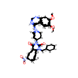 COc1cc2ncnc(N3CCC(n4c(=O)c5cc([N+](=O)[O-])ccc5n(CC5CCCCC5)c4=O)CC3)c2cc1OC